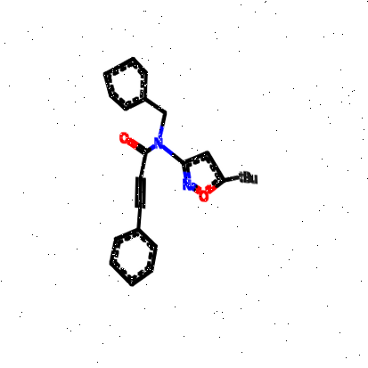 CC(C)(C)c1cc(N(Cc2ccccc2)C(=O)C#Cc2ccccc2)no1